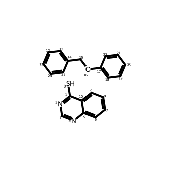 Sc1ncnc2ccccc12.c1ccc(COc2ccccc2)cc1